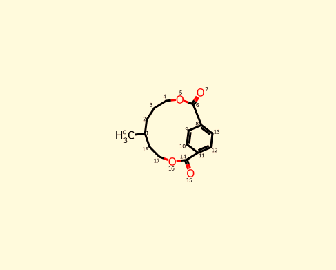 CC1CCCOC(=O)c2ccc(cc2)C(=O)OCC1